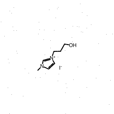 Cn1cc[n+](CCCO)c1.[I-]